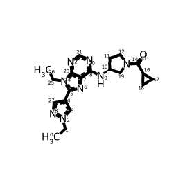 CCn1cc(-c2nc3c(N[C@H]4CCN(C(=O)C5CC5)C4)ncnc3n2CC)cn1